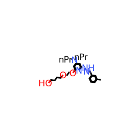 CCCN(CCC)c1cc(N/N=C/c2cccc(C)c2)nc(OCCOCCCCO)c1